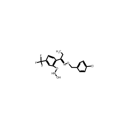 CC/C(=N\OCc1ccc(Cl)cc1)c1ccc(C(F)(F)F)cc1ONO